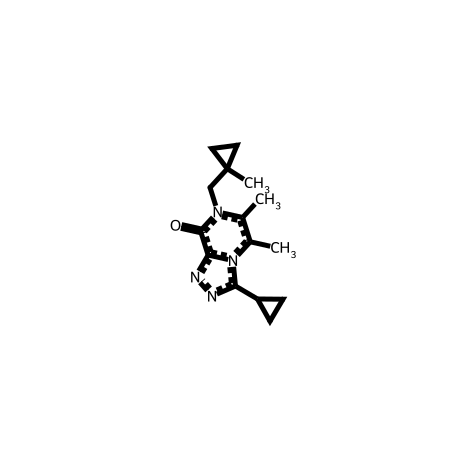 Cc1c(C)n2c(C3CC3)nnc2c(=O)n1CC1(C)CC1